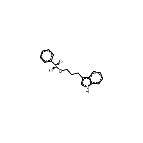 O=S(=O)(OCCCc1c[nH]c2ccccc12)c1ccccc1